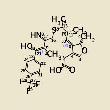 C=c1occ(CC(=O)O)/c1=C/[C@@H](C)C(C)SCC(=N)/C(C)=C(\O)c1ccc(C(F)(F)F)cc1